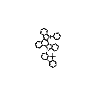 CC1(C)c2ccccc2-c2cccc(-n3c4ccccc4c4c3c3ccccc3c3c5ccccc5n(-c5ccccc5)c34)c21